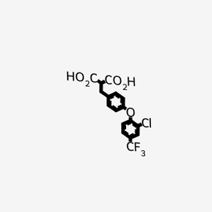 O=C(O)C(Cc1ccc(Oc2ccc(C(F)(F)F)cc2Cl)cc1)C(=O)O